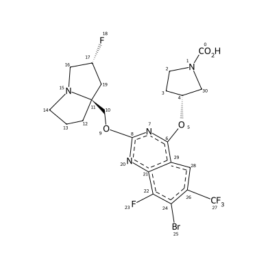 O=C(O)N1CC[C@@H](Oc2nc(OC[C@@]34CCCN3C[C@H](F)C4)nc3c(F)c(Br)c(C(F)(F)F)cc23)C1